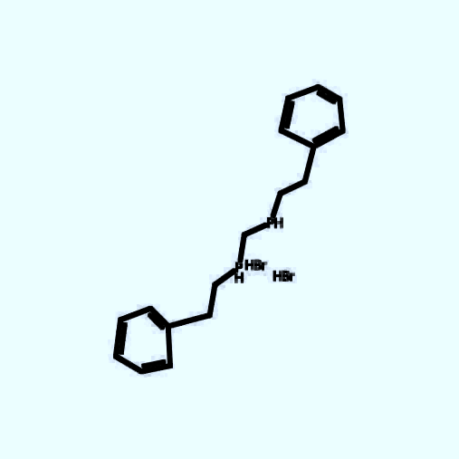 Br.Br.c1ccc(CCPCPCCc2ccccc2)cc1